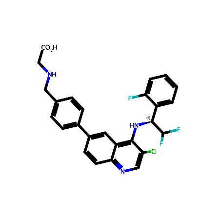 O=C(O)CNCc1ccc(-c2ccc3ncc(Cl)c(N[C@@H](c4ccccc4F)C(F)F)c3c2)cc1